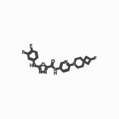 O=C(Nc1ccc(N2CCC3(CC2)CC(F)C3)nc1)c1nnc(Nc2ccc(F)c(F)c2)o1